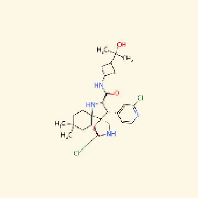 CC1(C)CCC2(CC1)N[C@@H](C(=O)NC1CC(C(C)(C)O)C1)[C@H](c1ccnc(Cl)c1)[C@]21CNC2C=C(Cl)C=CC21